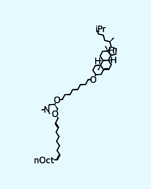 CCCCCCCC/C=C\CCCCCC=CCOC[C@@H](CN(C)C)OCCCCCCCCOC1CC[C@@]2(C)C(=CC[C@H]3[C@@H]4CC[C@H]([C@H](C)CCCC(C)C)[C@@]4(C)CC[C@@H]32)C1